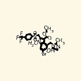 CCOC(=O)c1c(CS(=O)(=O)c2ccc(C(F)(F)F)cc2)n(C)c2cc(Br)c(O)c(Cn3ccnc3C)c12